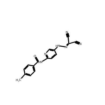 Cc1ccc(C(=O)Nc2ccc(NN=C(C#N)C#N)cn2)cc1